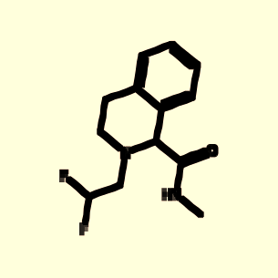 CNC(=O)C1c2ccccc2CCN1CC(F)F